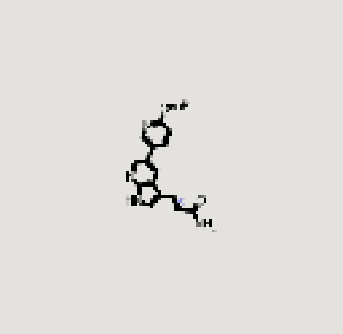 CCCOc1ccc(-c2cnc3[nH]cc(/C=C/C(N)=O)c3c2)cn1